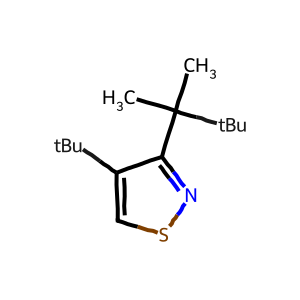 CC(C)(C)c1csnc1C(C)(C)C(C)(C)C